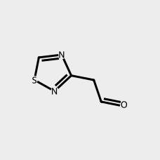 O=CCc1ncsn1